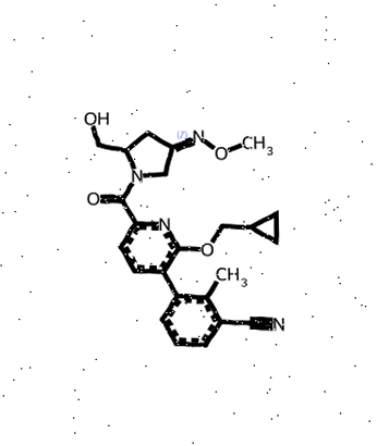 CO/N=C1/CC(CO)N(C(=O)c2ccc(-c3cccc(C#N)c3C)c(OCC3CC3)n2)C1